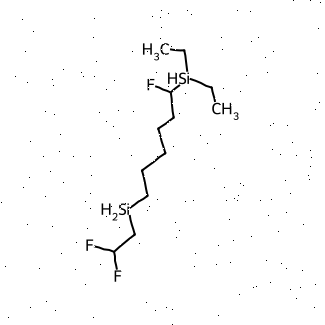 CC[SiH](CC)C(F)CCCCC[SiH2]CC(F)F